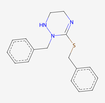 c1ccc(CSC2=NCCNN2Cc2ccccc2)cc1